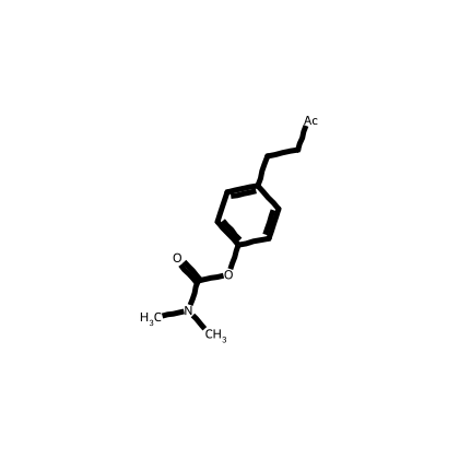 CC(=O)CCc1ccc(OC(=O)N(C)C)cc1